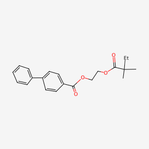 CCC(C)(C)C(=O)OCCOC(=O)c1ccc(-c2ccccc2)cc1